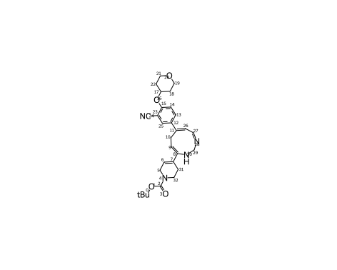 CC(C)(C)OC(=O)N1CC=C(/C2=C/C/C(c3ccc(OC4CCOCC4)c(C#N)c3)=C\C=N/CN2)CC1